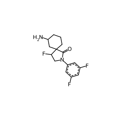 NC1CCCC2(C1)C(=O)N(c1cc(F)cc(F)c1)CC2F